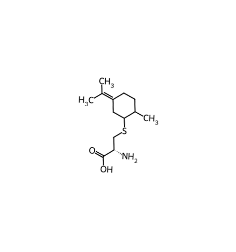 CC(C)=C1CCC(C)C(SC[C@H](N)C(=O)O)C1